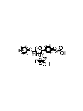 C[C@H](NC(=O)COC1CCNCC1)C(=O)c1ccc(OCC(=O)O)cc1.O=C(O)C(F)(F)F